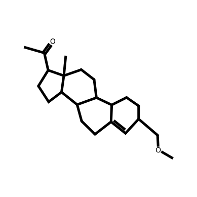 COCC1C=C2CCC3C(CCC4(C)C(C(C)=O)CCC34)C2CC1